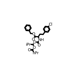 CCCC(=O)OC(OC(=O)NC(CCc1ccc(Cl)cc1)C(=O)OCc1ccccc1)C(C)C